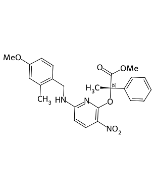 COC(=O)[C@@](C)(Oc1nc(NCc2ccc(OC)cc2C)ccc1[N+](=O)[O-])c1ccccc1